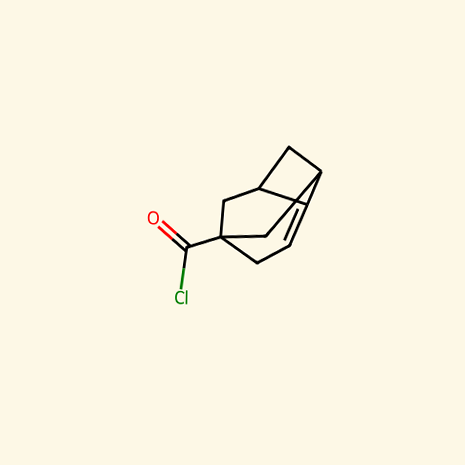 O=C(Cl)C12CC=C3C(CC3C1)C2